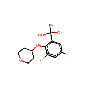 CC(C)C(O)(O)c1cc(F)cc(F)c1OC1CCOCC1